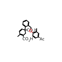 CC(=O)c1ccc(OCc2ccccc2C2(C(=O)O)C=CC(C)=C(C(=O)O)C2)c(C)c1